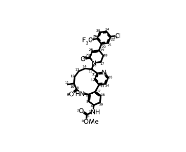 COC(=O)NC1C=C2NC(=O)C(C)CCCC(N3CCC(c4cc(Cl)ccc4C(F)(F)F)=CC3=O)c3cc(ccn3)C2=CC1